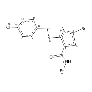 CCNC(=O)c1cc(Br)[nH]c1NCc1ccc(Cl)cc1